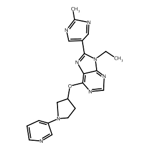 CCn1c(-c2cnc(C)nc2)nc2c(OC3CCN(c4cccnc4)C3)ncnc21